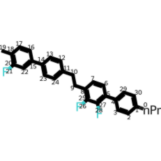 CCCc1ccc(-c2ccc(CCc3ccc(-c4ccc(C)c(F)c4)cc3)c(F)c2F)cc1